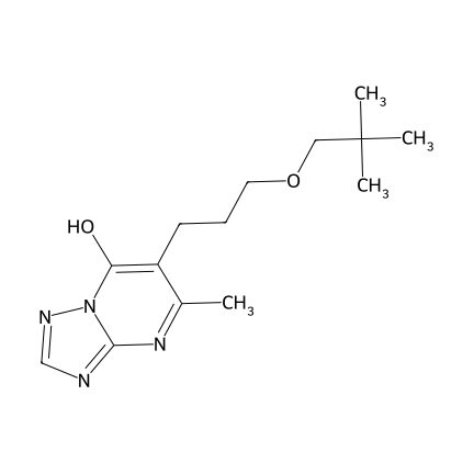 Cc1nc2ncnn2c(O)c1CCCOCC(C)(C)C